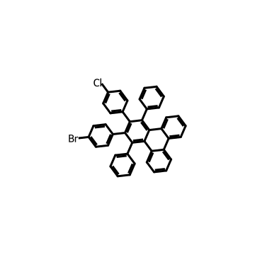 Clc1ccc(-c2c(-c3ccc(Br)cc3)c(-c3ccccc3)c3c4ccccc4c4ccccc4c3c2-c2ccccc2)cc1